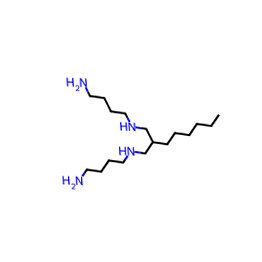 CCCCCCC(CNCCCCN)CNCCCCN